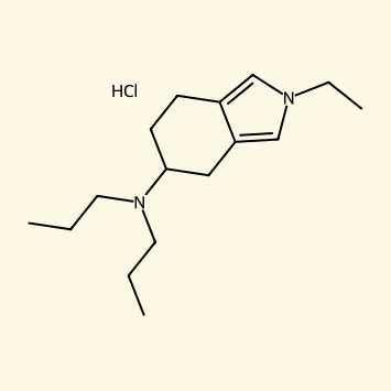 CCCN(CCC)C1CCc2cn(CC)cc2C1.Cl